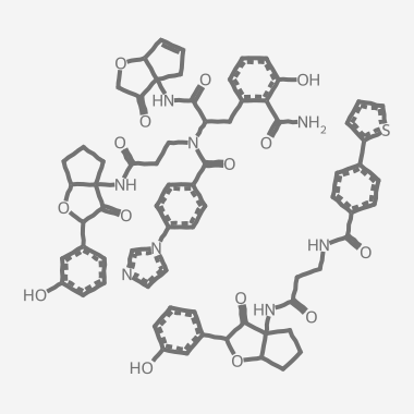 NC(=O)c1c(O)cccc1CC(C(=O)NC12CC=CC1OCC2=O)N(CCC(=O)NC12CCCC1OC(c1cccc(O)c1)C2=O)C(=O)c1ccc(-n2ccnc2)cc1.O=C(CCNC(=O)c1ccc(-c2cccs2)cc1)NC12CCCC1OC(c1cccc(O)c1)C2=O